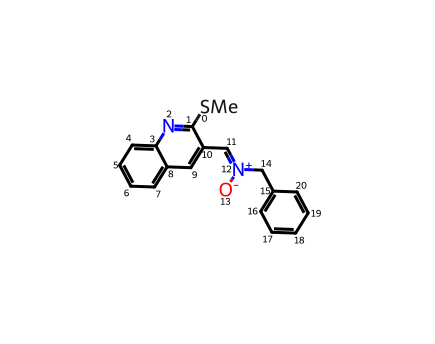 CSc1nc2ccccc2cc1C=[N+]([O-])Cc1ccccc1